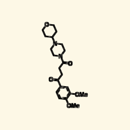 COc1ccc(C(=O)CCC(=O)N2CCN(C3CCOCC3)CC2)cc1OC